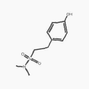 CN(C)S(=O)(=O)CCc1ccc(O)cc1